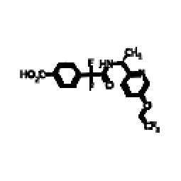 C[C@@H](NC(=O)C(F)(F)c1ccc(C(=O)O)cc1)c1ccc(OCC(F)(F)F)cn1